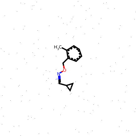 Cc1ccccc1CO/N=[C]\C1CC1